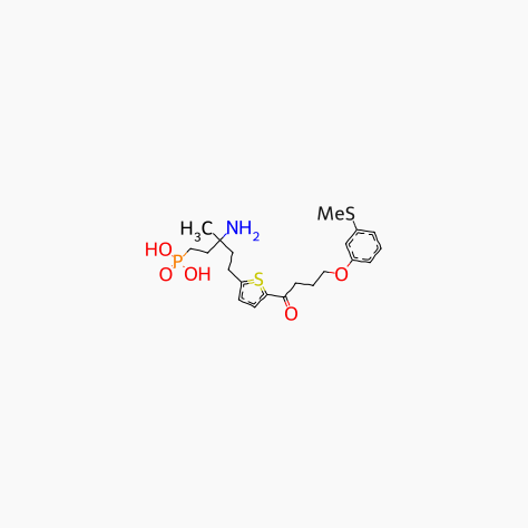 CSc1cccc(OCCCC(=O)c2ccc(CCC(C)(N)CCP(=O)(O)O)s2)c1